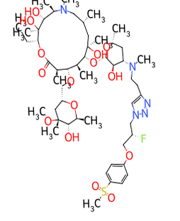 CC[C@H]1OC(=O)[C@H](C)[C@@H](OC[C@H]2C[C@@](C)(OC)[C@@H](O)[C@H](C)O2)[C@H](C)[C@@H](O[C@@H]2O[C@H](C)C[C@H](N(C)CCc3cn(C[C@H](F)COc4ccc(S(C)(=O)=O)cc4)nn3)[C@H]2O)[C@](C)(O)C[C@@H](C)CN(C)[C@H](C)[C@@H](O)[C@]1(C)O